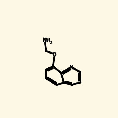 NCOc1cccc2cccnc12